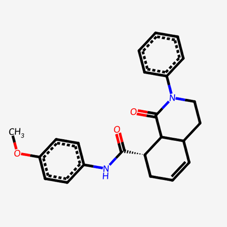 COc1ccc(NC(=O)[C@H]2CC=CC3CCN(c4ccccc4)C(=O)C32)cc1